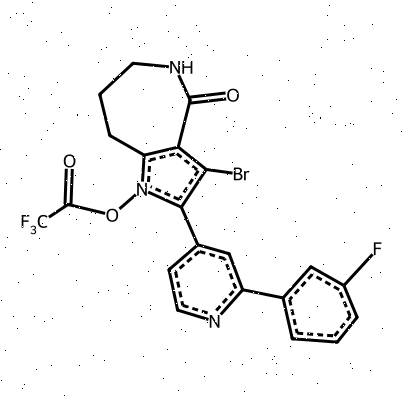 O=C1NCCCc2c1c(Br)c(-c1ccnc(-c3cccc(F)c3)c1)n2OC(=O)C(F)(F)F